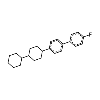 Fc1ccc(-c2ccc(C3CCC(C4CCCCC4)CC3)cc2)cc1